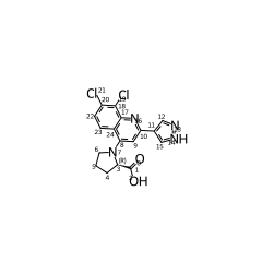 O=C(O)[C@H]1CCCN1c1cc(-c2cn[nH]c2)nc2c(Cl)c(Cl)ccc12